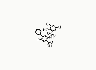 O=C(O)c1cc(F)c(-c2ccccc2)cc1NS(=O)(=O)c1cc(Cl)cc(Cl)c1O